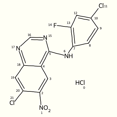 Cl.O=[N+]([O-])c1cc2c(Nc3ccc(Cl)cc3F)ncnc2cc1Cl